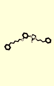 S=C1N(CCCc2ccccc2)CCN1c1cccc(OCCCCCc2ccccc2)c1